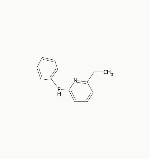 CCc1cccc(Pc2ccccc2)n1